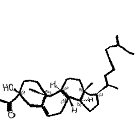 CC(=O)[C@]1(O)CC[C@@]2(C)C(=CC[C@H]3[C@@H]4CC[C@H](C(C)CCCC(C)C)[C@@]4(C)CC[C@@H]32)C1